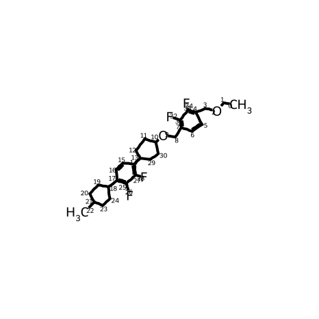 CCOCc1ccc(COC2CCC(c3ccc(C4CCC(C)CC4)c(F)c3F)CC2)c(F)c1F